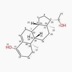 CC(O)[C@H]1CC[C@H]2[C@@H]3CC=C4C(O)=CCC[C@]4(C)[C@H]3CC[C@]12C